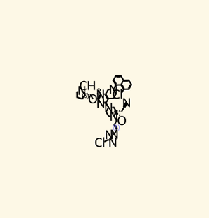 CN1CCC[C@H]1COc1nc2c(c(N3CCN(C(=O)/C=C/n4cnc(Cl)n4)[C@@H](CC#N)C3)n1)CCN(c1cccc3cccc(Cl)c13)C2